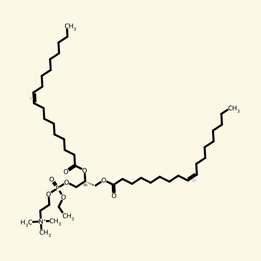 CCCCCCCC/C=C\CCCCCCCC(=O)OC[C@H](COP(=O)(OCC)OCC[N+](C)(C)C)OC(=O)CCCCCCC/C=C\CCCCCCCC